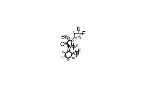 Cn1c(C2CC(F)(F)C2)c(Br)c(=O)n1-c1ccccc1C(F)(F)F